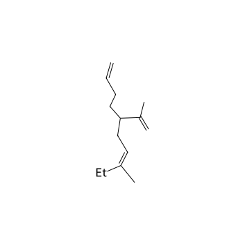 C=CCCC(C/C=C(/C)CC)C(=C)C